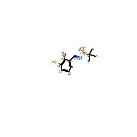 CC(C)(C)[S@@+]([O-])/N=C/c1cccc(F)c1Br